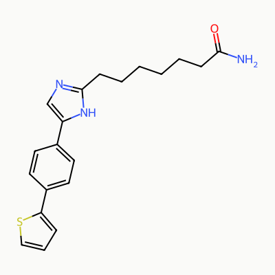 NC(=O)CCCCCCc1ncc(-c2ccc(-c3cccs3)cc2)[nH]1